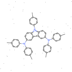 Cc1ccc(N(c2ccc(C)cc2)c2ccc3c(c2)c2cc(N(c4ccc(C)cc4)c4ccc(C)cc4)ccc2n3-c2ccc(C)cc2)cc1